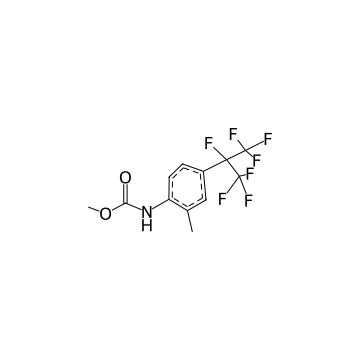 COC(=O)Nc1ccc(C(F)(C(F)(F)F)C(F)(F)F)cc1C